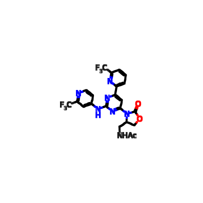 CC(=O)NCC1COC(=O)N1c1cc(-c2cccc(C(F)(F)F)n2)nc(Nc2ccnc(C(F)(F)F)c2)n1